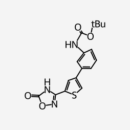 CC(C)(C)OC(=O)Nc1cccc(-c2csc(-c3noc(=O)[nH]3)c2)c1